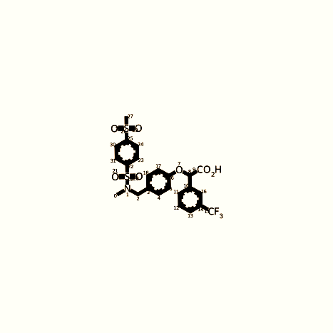 CN(Cc1ccc(OC(C(=O)O)c2cccc(C(F)(F)F)c2)cc1)S(=O)(=O)c1ccc(S(C)(=O)=O)cc1